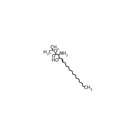 CCCCCCCCCCCCCC=CC(O)C(N)C(=O)OC(C)C